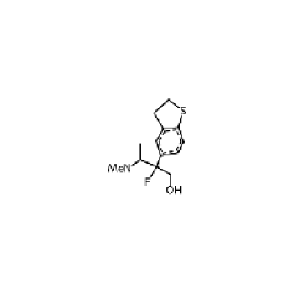 CNC(C)C(F)(CO)c1ccc2c(c1)CCS2